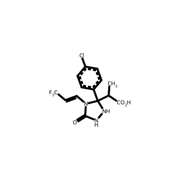 CC(C(=O)O)C1(c2ccc(Cl)cc2)NNC(=O)N1C=CC(F)(F)F